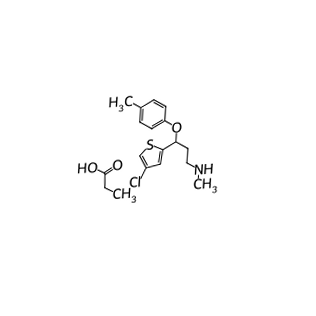 CCC(=O)O.CNCCC(Oc1ccc(C)cc1)c1cc(Cl)cs1